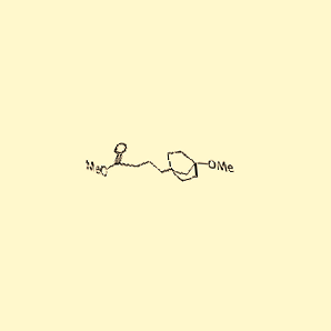 COC(=O)CCCC12CCC(OC)(CC1)C2